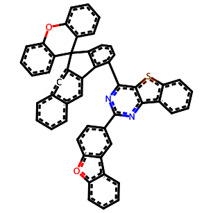 c1ccc2c(c1)Oc1ccccc1C21c2cc3ccccc3cc2-c2c(-c3nc(-c4ccc5oc6ccccc6c5c4)nc4c3sc3ccccc34)cccc21